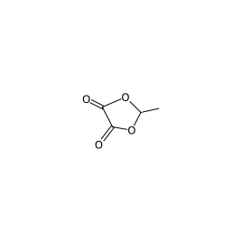 CC1OC(=O)C(=O)O1